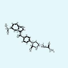 CC(=O)NC[C@H]1CN(c2ccc(C(=O)c3cnc4ccc([N+](=O)[O-])cn34)cc2)C(=O)O1